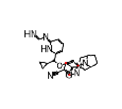 N#Cc1ccc(N2C3CCC2CN(C(=O)COC(c2ccc/c(=N/C=N)[nH]2)C2CC2)C3)nc1